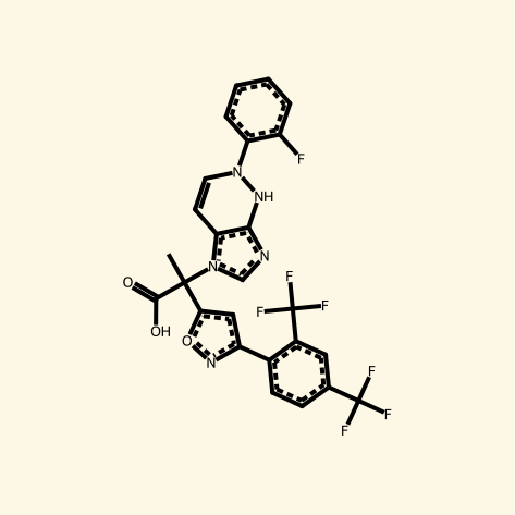 CC(C(=O)O)(c1cc(-c2ccc(C(F)(F)F)cc2C(F)(F)F)no1)n1cnc2c1C=CN(c1ccccc1F)N2